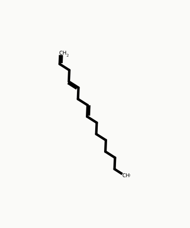 [CH]CCCCCCC=CCC=CCC=C